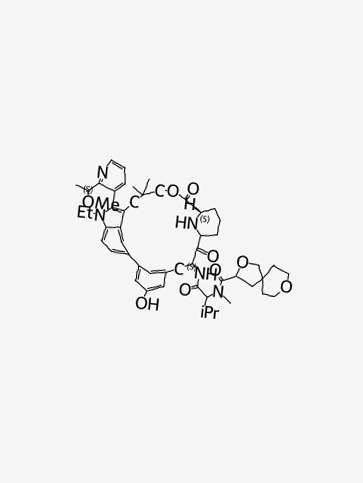 CCn1c(-c2cccnc2[C@H](C)OC)c2c3cc(ccc31)-c1cc(O)cc(c1)C[C@H](NC(=O)C(C(C)C)N(C)C(=O)C1CC3(CCOCC3)CO1)C(=O)C1CCC[C@H](N1)C(=O)OCC(C)(C)C2